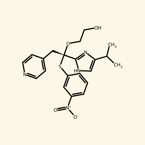 CC(C)c1c[nH]c([C@@](Cc2ccncc2)(OCCO)Sc2cccc([N+](=O)[O-])c2)n1